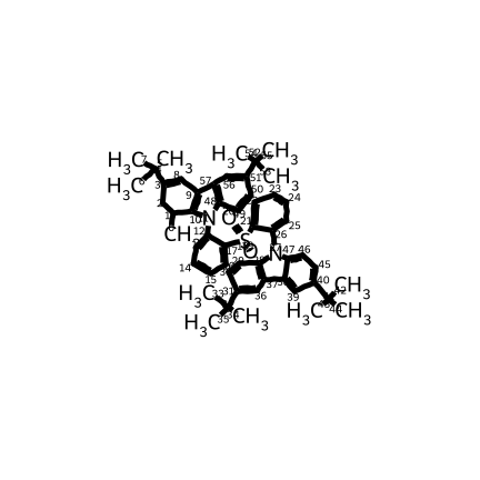 CC1CC(C(C)(C)C)=Cc2c1n(-c1ccccc1S(=O)(=O)c1ccccc1-n1c3ccc(C(C)(C)C)cc3c3cc(C(C)(C)C)ccc31)c1ccc(C(C)(C)C)cc21